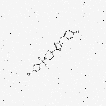 O=S(=O)(c1ccc(Cl)cc1)N1CCN(c2nc(Cc3ccc(Cl)cc3)cs2)CC1